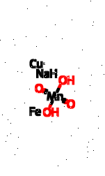 [Cu].[Fe].[NaH].[O]=[Mn](=[O])([OH])[OH]